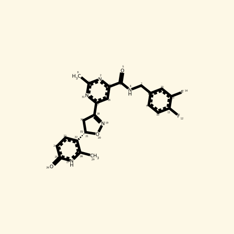 Cc1nc(C(=O)NCc2ccc(F)c(F)c2)cc(C2=NO[C@H](c3ccc(=O)[nH]c3C)C2)n1